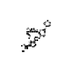 COC=CC[C@H]1[C@H](N2CCCCC2)CC[C@H]1OCc1ccc(-c2ccccc2)cc1